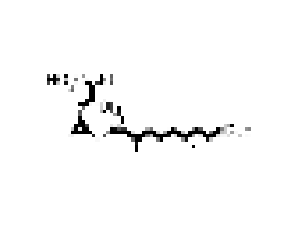 CCCCCCCCCCCCCCCC[C@@H](C)[C@H]1O[C@H]1C[C@@H]1C[C@@H]1C[C@@H](O)[C@@H](CC)C(=O)O